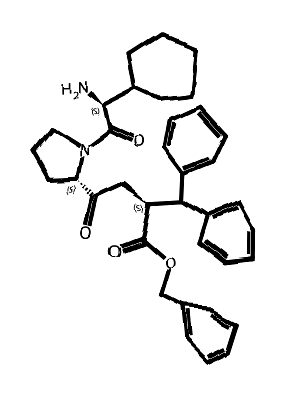 N[C@H](C(=O)N1CCC[C@H]1C(=O)C[C@H](C(=O)OCc1ccccc1)C(c1ccccc1)c1ccccc1)C1CCCCC1